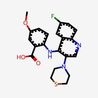 COc1ccc(Nc2c(N3CCSCC3)cnc3ccc(F)cc23)c(C(=O)O)c1